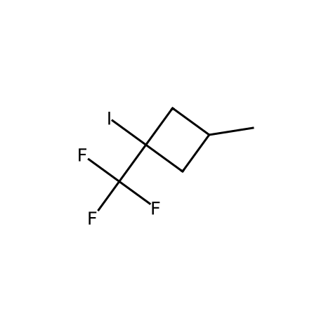 CC1CC(I)(C(F)(F)F)C1